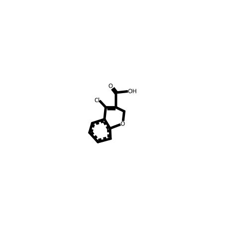 O=C(O)C1=C(Cl)c2ccccc2OC1